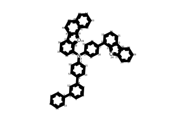 c1ccc(-c2cccc(-c3ccc(N(c4ccc(-c5cccc6c5oc5ccccc56)cc4)c4cccc5c4oc4c6ccccc6ccc54)cc3)c2)cc1